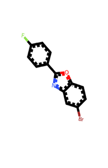 Fc1ccc(-c2nc3cc(Br)ccc3o2)cc1